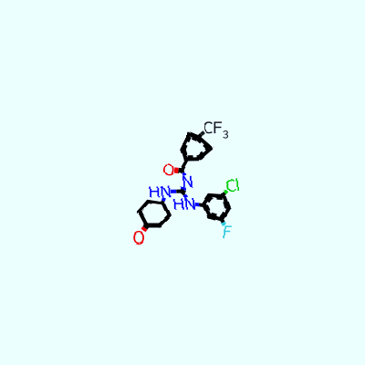 O=C1CCC(N/C(=N\C(=O)c2ccc(C(F)(F)F)cc2)Nc2cc(F)cc(Cl)c2)CC1